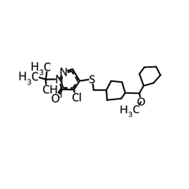 COC(C1CCCCC1)C1CCC(CSc2cnn(C(C)(C)C)c(=O)c2Cl)CC1